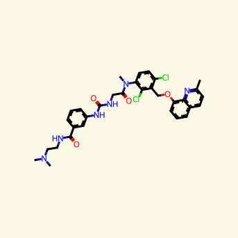 Cc1ccc2cccc(OCc3c(Cl)ccc(N(C)C(=O)CNC(=O)Nc4cccc(C(=O)NCCN(C)C)c4)c3Cl)c2n1